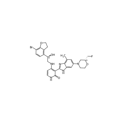 Cc1cc(N2CCO[C@@H](CF)C2)cc2[nH]c(-c3c(NC[C@H](O)c4ccc(Br)c5c4CCO5)cc[nH]c3=O)nc12